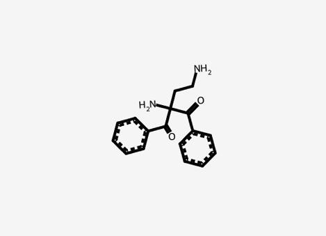 NCCC(N)(C(=O)c1ccccc1)C(=O)c1ccccc1